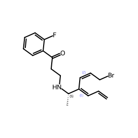 C=C/C=C(\C=C/CBr)[C@H](C)NCCC(=O)c1ccccc1F